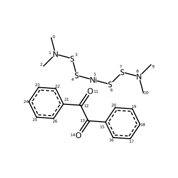 CN(C)S[S][Ni][S]SN(C)C.O=C(C(=O)c1ccccc1)c1ccccc1